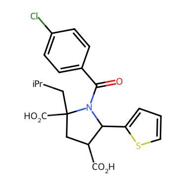 CC(C)CC1(C(=O)O)CC(C(=O)O)C(c2cccs2)N1C(=O)c1ccc(Cl)cc1